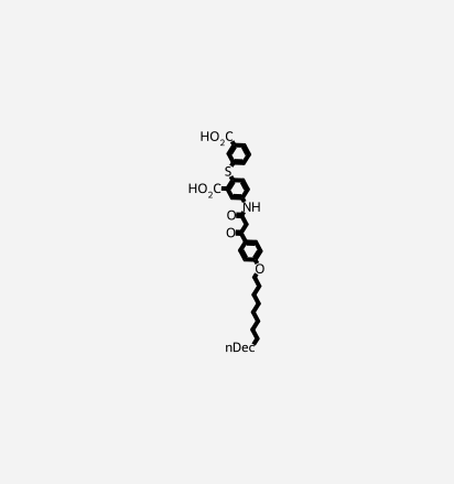 CCCCCCCCCCCCCCCCCCOc1ccc(C(=O)CC(=O)Nc2ccc(Sc3cccc(C(=O)O)c3)c(C(=O)O)c2)cc1